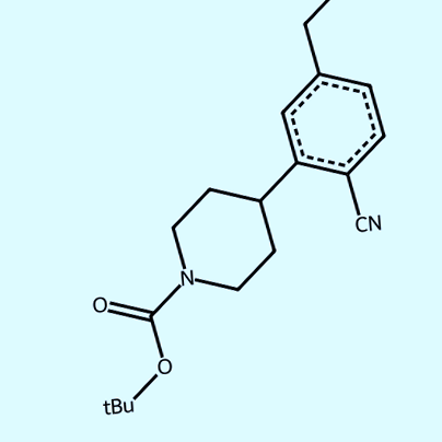 CC(C)Cc1ccc(C#N)c(C2CCN(C(=O)OC(C)(C)C)CC2)c1